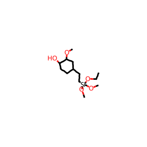 CCO[Si](CCC1CCC(O)C(OC)C1)(OC)OC